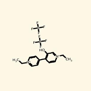 CC[n+]1ccc(-c2cc[n+](CC)cc2O)cc1.F[B-](F)(F)F.F[B-](F)(F)F